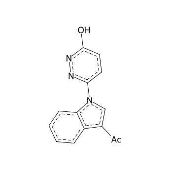 CC(=O)c1cn(-c2ccc(O)nn2)c2ccccc12